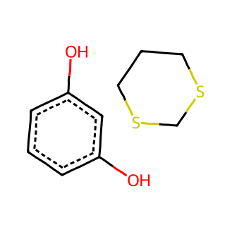 C1CSCSC1.Oc1cccc(O)c1